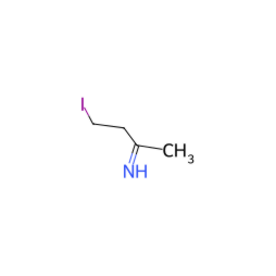 CC(=N)CCI